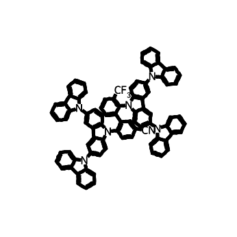 N#Cc1ccc(-n2c3ccc(-n4c5ccccc5c5ccccc54)cc3c3cc(-n4c5ccccc5c5ccccc54)ccc32)c(-c2cccc(C(F)(F)F)c2-n2c3ccc(-n4c5ccccc5c5ccccc54)cc3c3cc(-n4c5ccccc5c5ccccc54)ccc32)c1